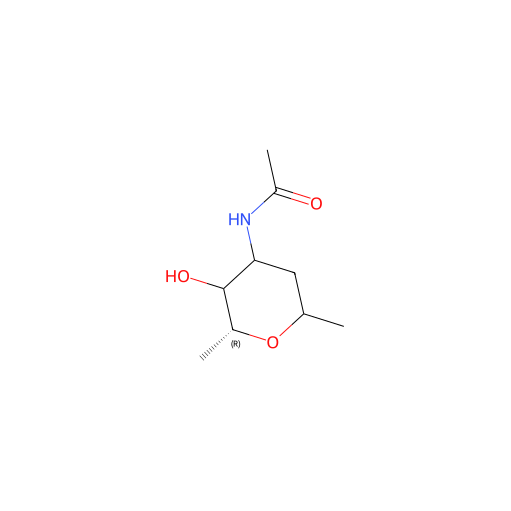 CC(=O)NC1CC(C)O[C@H](C)C1O